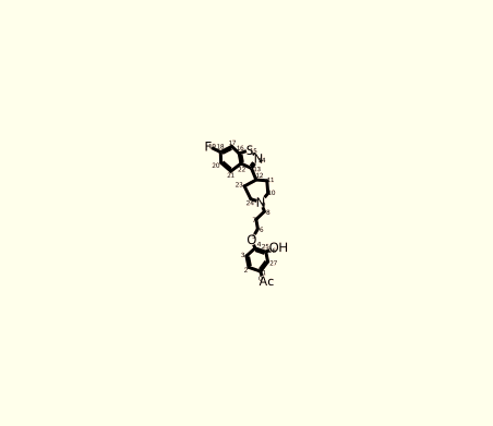 CC(=O)c1ccc(OCCCN2CCC(c3nsc4cc(F)ccc34)CC2)c(O)c1